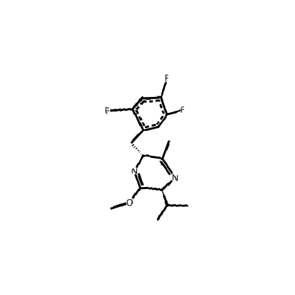 COC1=N[C@H](Cc2cc(F)c(F)cc2F)C(C)=N[C@H]1C(C)C